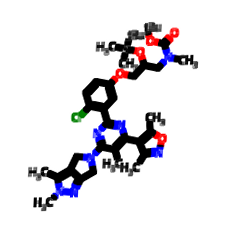 Cc1noc(C)c1-c1nc(-c2cc(OCC(CN(C)C(=O)OC(C)(C)C)O[Si](C)(C)C(C)(C)C)ccc2Cl)nc(N2Cc3nn(C)c(C)c3C2)c1C